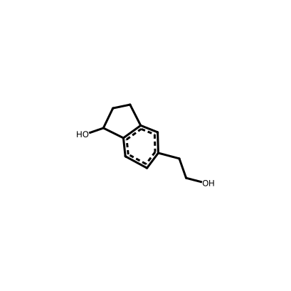 OCCc1ccc2c(c1)CCC2O